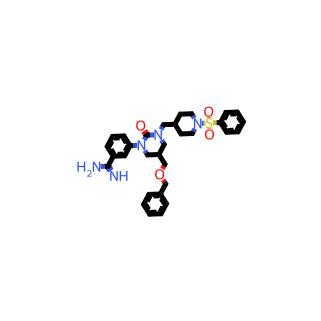 N=C(N)c1cccc(N2CC(COCc3ccccc3)CN(CC3CCN(S(=O)(=O)c4ccccc4)CC3)C2=O)c1